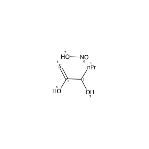 CCCC(O)C(O)=S.O=NO